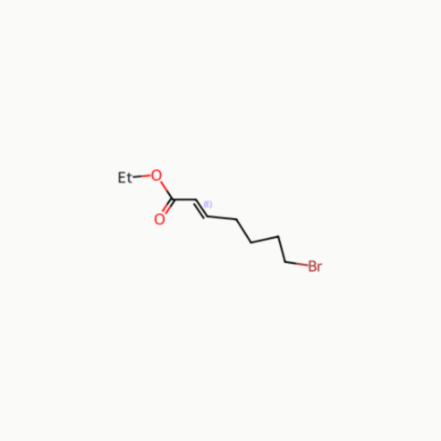 CCOC(=O)/C=C/CCCCBr